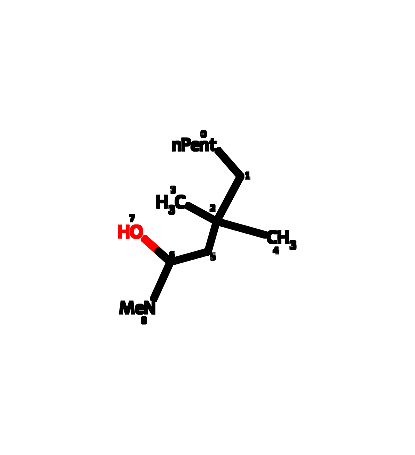 CCCCCCC(C)(C)CC(O)NC